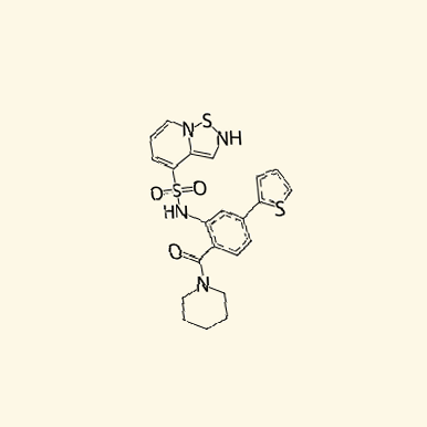 O=C(c1ccc(-c2cccs2)cc1NS(=O)(=O)C1=CC=CN2SNC=C12)N1CCCCC1